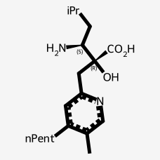 CCCCCc1cc(C[C@](O)(C(=O)O)[C@@H](N)CC(C)C)ncc1C